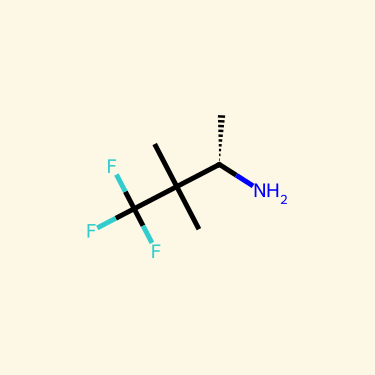 C[C@H](N)C(C)(C)C(F)(F)F